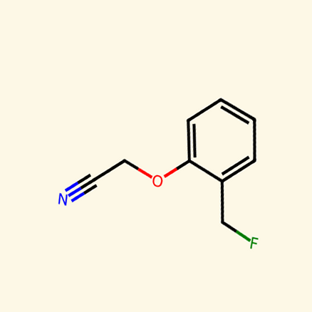 N#CCOc1ccccc1CF